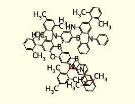 Cc1cc(C)c(N2c3cc4c(cc3B3c5cc6c(cc5Oc5cc(-c7c(C)cccc7C)cc2c53)N(c2c(C)cc(C)cc2C)c2cc(-c3c(C)cccc3C)cc3c2B6c2ccccc2N3c2ccccc2)B2c3ccccc3N(c3ccccc3)c3cc(-c5c(C)cccc5C)cc(c32)N4)c(C)c1